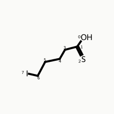 OC(=S)CCCCI